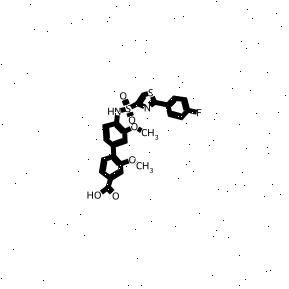 COc1cc(-c2ccc(C(=O)O)cc2OC)ccc1NS(=O)(=O)c1csc(-c2ccc(F)cc2)n1